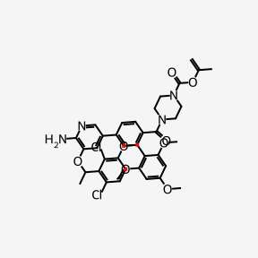 C=C(C)OC(=O)N1CCN(C(=O)c2ccc(-c3cnc(N)c(OC(C)c4c(Cl)ccc(OCc5c(OC)cc(OC)cc5OC)c4Cl)c3)cc2)CC1